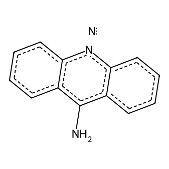 Nc1c2ccccc2nc2ccccc12.[N]